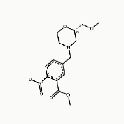 COC[C@@H]1CN(Cc2ccc([N+](=O)[O-])c(C(=O)OC)c2)CCO1